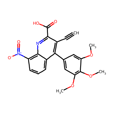 C#Cc1c(C(=O)O)nc2c([N+](=O)[O-])cccc2c1-c1cc(OC)c(OC)c(OC)c1